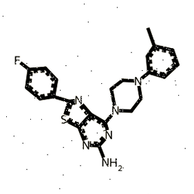 Cc1cccc(N2CCN(c3nc(N)nc4sc(-c5ccc(F)cc5)nc34)CC2)c1